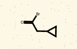 O=C(Br)CC1CC1